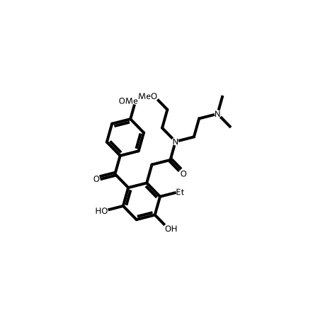 CCc1c(O)cc(O)c(C(=O)c2ccc(OC)cc2)c1CC(=O)N(CCOC)CCN(C)C